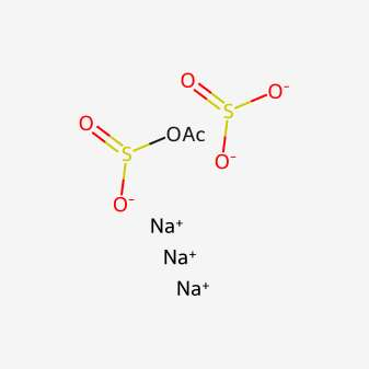 CC(=O)OS(=O)[O-].O=S([O-])[O-].[Na+].[Na+].[Na+]